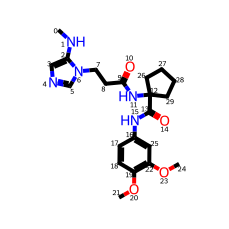 CNc1cncn1CCC(=O)NC1(C(=O)Nc2ccc(OC)c(OC)c2)CCCC1